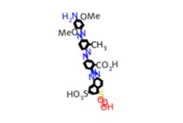 COc1cc(N=Nc2ccc(N=Nc3ccc(-n4nc5ccc6c(SOOO)cc(S(=O)(=O)O)cc6c5n4)c(C(=O)O)c3)c(C)c2)c(OC)cc1N